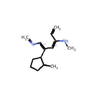 C=C/C(=C\C(=C\N=C)C1CCCC1C)NC